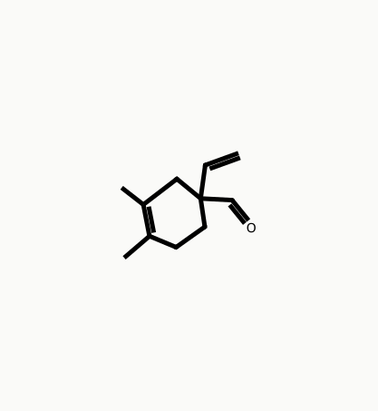 C=CC1(C=O)CCC(C)=C(C)C1